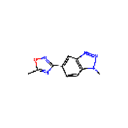 Cc1nc(-c2ccc3c(c2)nnn3C)no1